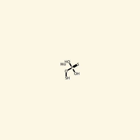 OP(O)(=S)OS.[Mo]